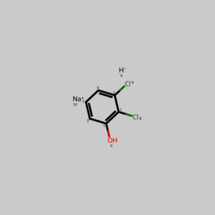 Oc1cccc(Cl)c1Cl.[H-].[Na+]